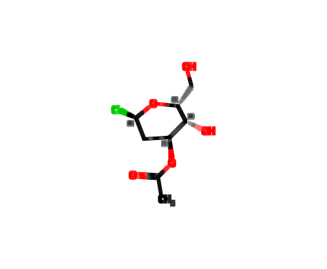 CC(=O)O[C@H]1C[C@@H](Cl)O[C@H](CO)[C@@H]1O